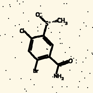 C[S@@+]([O-])c1cc(C(N)=O)c(Br)cc1Cl